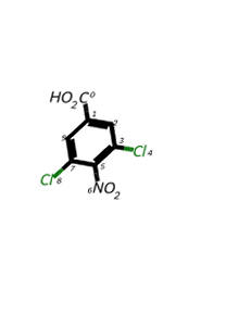 O=C(O)c1cc(Cl)c([N+](=O)[O-])c(Cl)c1